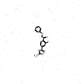 O=C(CSc1ccccc1)c1ccc(-c2noc(C(F)(F)F)n2)cc1F